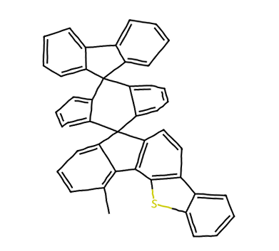 Cc1cccc2c1-c1c(ccc3c1sc1ccccc13)C21c2ccccc2C2(c3ccccc3-c3ccccc32)c2ccccc21